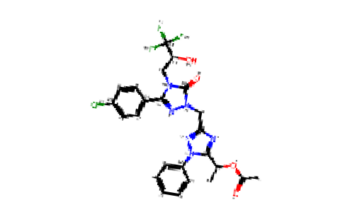 CC(=O)O[C@@H](C)c1nc(Cn2nc(-c3ccc(Cl)cc3)n(C[C@H](O)C(F)(F)F)c2=O)nn1-c1ccccc1